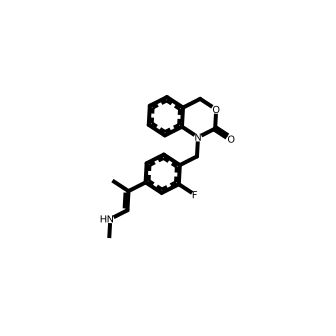 CN/C=C(\C)c1ccc(CN2C(=O)OCc3ccccc32)c(F)c1